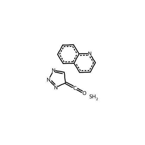 O=C=C1C=NN=N1.S.c1ccc2ncccc2c1